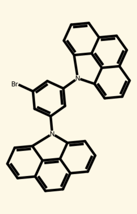 Brc1cc(-n2c3cccc4ccc5cccc2c5c43)cc(-n2c3cccc4ccc5cccc2c5c43)c1